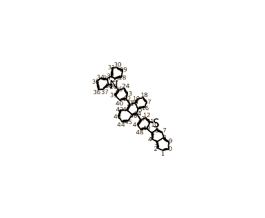 c1ccc2cc3c(cc2c1)sc1cc(-c2c4ccccc4c(-c4ccc(-n5c6ccccc6c6ccccc65)cc4)c4ccccc24)ccc13